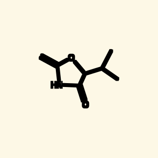 C=C1NC(=O)C(C(C)C)O1